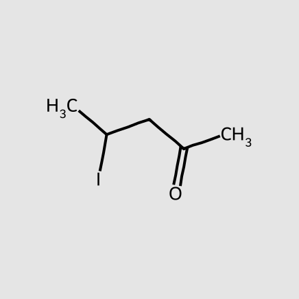 CC(=O)CC(C)I